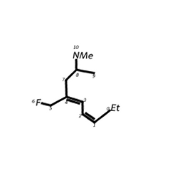 CC/C=C\C=C(/CF)CC(C)NC